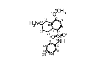 COc1ccc(S(=O)(=O)Nc2ccc(F)nc2)c2c1CC(N)CC2